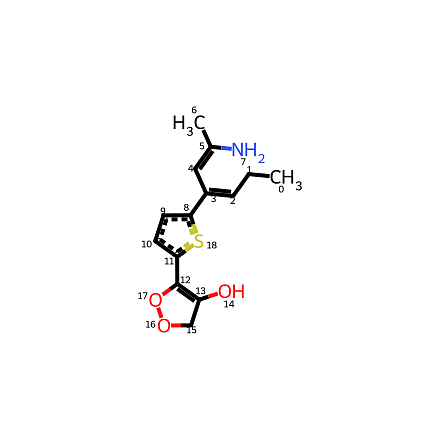 CC/C=C(\C=C(\C)N)c1ccc(C2=C(O)COO2)s1